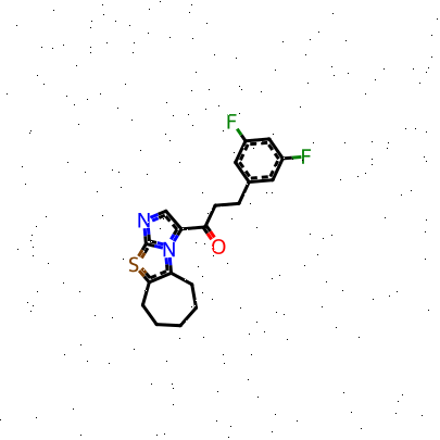 O=C(CCc1cc(F)cc(F)c1)c1cnc2sc3c(n12)CCCCC3